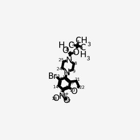 CC(C)(C)OC(=O)N1CCN(c2c(Br)cc([N+](=O)[O-])c3c2CCO3)CC1